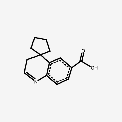 O=C(O)c1ccc2c(c1)C1(CC=N2)CCCC1